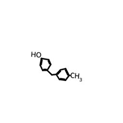 Cc1ccc(Cc2ccc(O)cc2)cc1